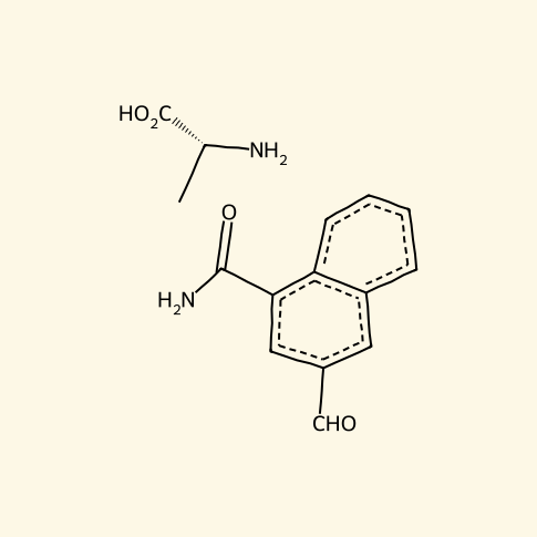 C[C@@H](N)C(=O)O.NC(=O)c1cc(C=O)cc2ccccc12